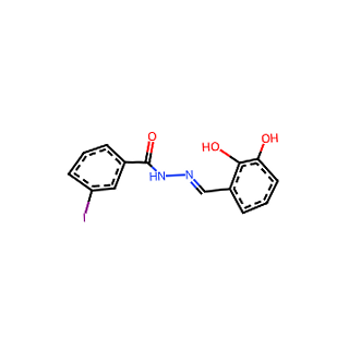 O=C(NN=Cc1cccc(O)c1O)c1cccc(I)c1